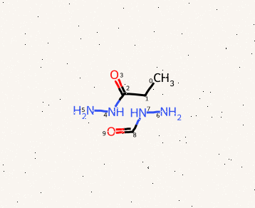 CCC(=O)NN.NNC=O